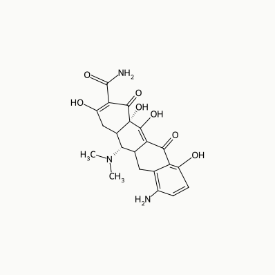 CN(C)[C@H]1C2Cc3c(N)ccc(O)c3C(=O)C2=C(O)[C@]2(O)C(=O)C(C(N)=O)=C(O)CC12